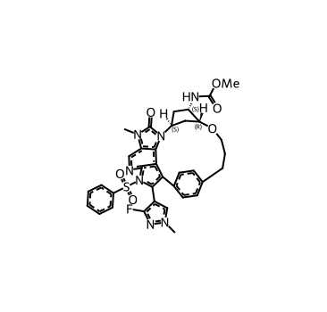 COC(=O)N[C@H]1C[C@H]2C[C@H]1OCCCc1ccc(cc1)-c1c(-c3cn(C)nc3F)n(S(=O)(=O)c3ccccc3)c3ncc4c(c13)n2c(=O)n4C